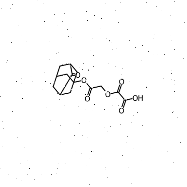 O=C(COC(=O)C(=O)O)OC12CC3CC(C1)C(=O)C(C3)C2